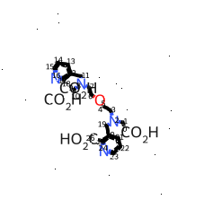 O=C(O)CN(CCOCCN(CC(=O)O)Cc1cccnc1C(=O)O)Cc1cccnc1C(=O)O